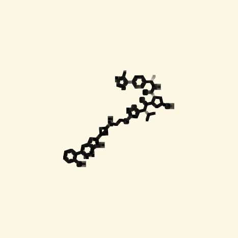 Cc1ncsc1-c1ccc([C@H](C)NC(=O)[C@@H]2C[C@@H](O)CC2C(=O)[C@@H](c2cc(OCCNC34CC(c5cc6cc(-c7ccccc7O)nnc6[nH]5)(C3)C4)no2)C(C)C)cc1